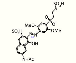 COc1cc(S(=O)(=O)CCSS(=O)(=O)O)c(OC)cc1/N=N/c1c(S(=O)(=O)O)cc2ccc(NC(C)=O)cc2c1O